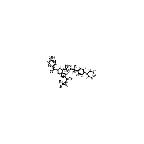 O=C(c1cnc(O)cn1)N1CC(c2nnc(C(F)(F)c3ccc(C4CCOCC4)cc3)o2)C2(C1)CN(C(=O)[C@H]1CC1(F)F)C2